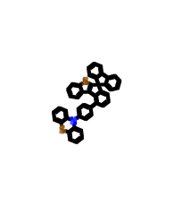 c1ccc2c(c1)Sc1ccccc1N2c1ccc(-c2cccc3c2-c2c(sc4ccccc24)C32c3ccccc3-c3ccccc32)cc1